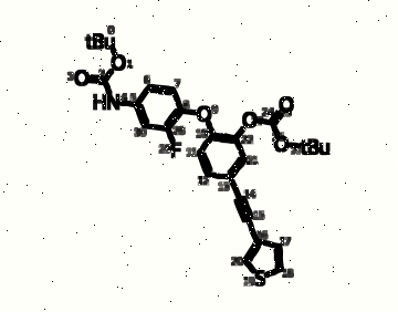 CC(C)(C)OC(=O)Nc1ccc(Oc2ccc(C#Cc3ccsc3)cc2OC(=O)OC(C)(C)C)c(F)c1